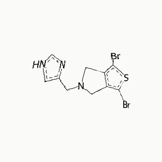 Brc1sc(Br)c2c1CN(Cc1c[nH]cn1)C2